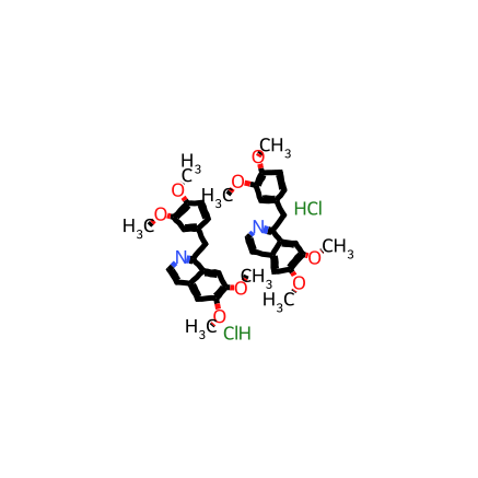 COc1ccc(Cc2nccc3cc(OC)c(OC)cc23)cc1OC.COc1ccc(Cc2nccc3cc(OC)c(OC)cc23)cc1OC.Cl.Cl